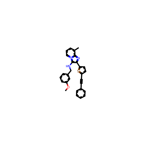 COc1cccc(CNc2c(-c3ccc(C#Cc4ccccc4)s3)nc3c(C)cccn23)c1